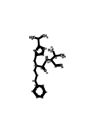 CC(C)c1nc(CN(CCCc2ccccc2)C(=O)N[C@H](C=O)C(C)C)cs1